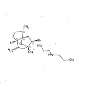 C=C1C[C@]2(O)O[C@@]3(C[C@H]2C(C)C)[C@@H](C)CC[C@@H]13.OCCNCCO